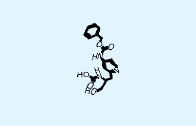 O=C(O)NC(CO)Cc1cc(NC(=O)OCc2ccccc2)ccn1